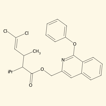 CC(C)C(C(=O)OCc1cc2ccccc2c(Oc2ccccc2)n1)C(C)C=C(Cl)Cl